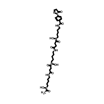 CC(=O)N(O)CCCCCNC(=O)CCC(=O)N(O)CCCCCNC(=O)CCC(=O)N(O)CCCCCNC(=O)c1ccc(N2N=CCC2=O)cc1